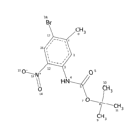 Cc1cc(NC(=O)OC(C)(C)C)c([N+](=O)[O-])cc1Br